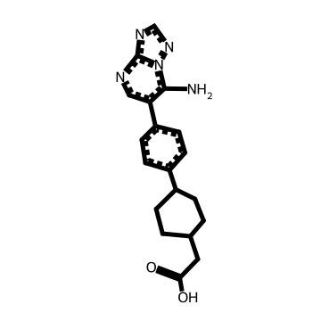 Nc1c(-c2ccc(C3CCC(CC(=O)O)CC3)cc2)cnc2ncnn12